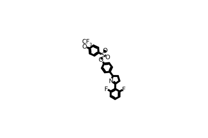 O=S(=O)(Oc1ccc(C2CCC(c3c(F)cccc3F)=N2)cc1)c1ccc(OC(F)(F)F)cc1